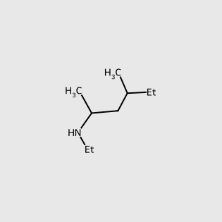 CCNC(C)CC(C)CC